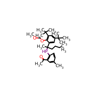 CCCCC(C)(Pc1ccc(C)cc1C(C)=O)c1cc(C(C)(C)C)cc(C(C)(C)C)c1OCOC